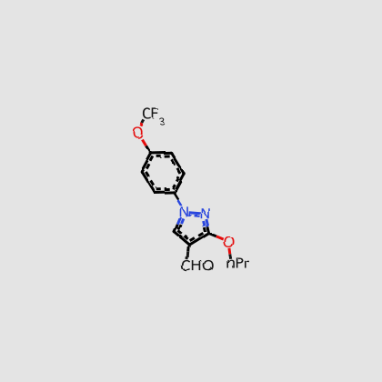 CCCOc1nn(-c2ccc(OC(F)(F)F)cc2)cc1C=O